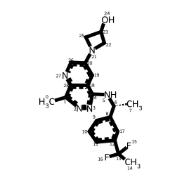 Cc1nnc(N[C@H](C)c2cccc(C(C)(F)F)c2)c2cc(N3CC(O)C3)cnc12